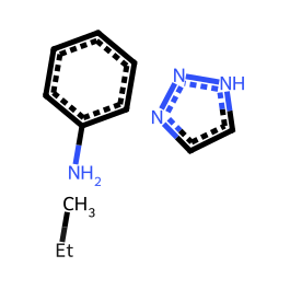 CCC.Nc1ccccc1.c1c[nH]nn1